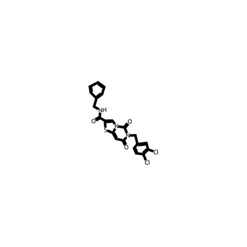 O=C(NCc1ccccc1)c1cn2c(=O)n(Cc3ccc(Cl)c(Cl)c3)c(=O)cc2s1